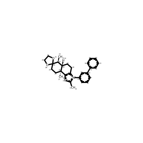 Cc1nc2c(n1-c1cccc(-c3ccccc3)c1)CC[C@H]1[C@H](C)C3(CC[C@]21C)OCCO3